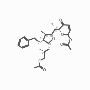 CC(=O)OC[C@H](C)C[C@H]1O[C@@H]([C@H](C)[C@H]2OC(OC(C)=O)C=CC2=O)[C@H](C)[C@H]1OCc1ccccc1